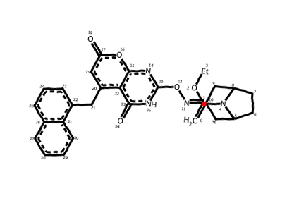 C=C(OCC)N1C2CCC1CC(=NOc1nc3oc(=O)cc(Cc4cccc5ccccc45)c3c(=O)[nH]1)C2